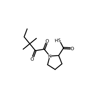 CCC(C)(C)C(=O)C(=O)N1CCCC1C(=O)S